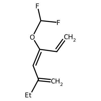 C=C/C(=C\C(=C)CC)OC(F)F